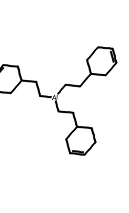 C1=CCC(C[CH2][Al]([CH2]CC2CC=CCC2)[CH2]CC2CC=CCC2)CC1